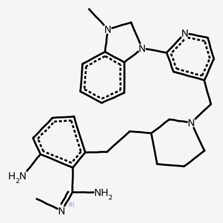 C/N=C(/N)c1c(N)cccc1CCC1CCCN(Cc2ccnc(N3CN(C)c4ccccc43)c2)C1